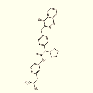 CC(C)(C)C(Cc1cccc(NC(=O)C(c2ccc(Cn3nnc4ccccc4c3=O)cc2)C2CCCC2)c1)C(=O)O